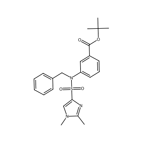 Cc1nc(S(=O)(=O)N(Cc2ccccc2)c2cccc(C(=O)OC(C)(C)C)c2)cn1C